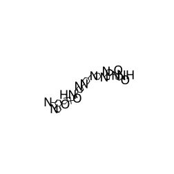 CC1(C)[C@H](NC(=O)c2ccc(N3CCC(CN4CCC(n5ccc6c(N7CCC(=O)NC7=O)ccnc65)CC4)CC3)nc2)C(C)(C)[C@H]1Oc1ccc(C#N)c2ncccc12